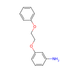 Nc1cccc(OCCOc2ccccc2)c1